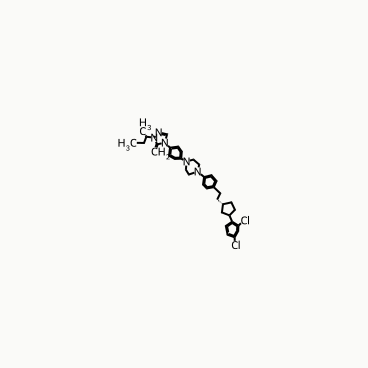 C=C1N(c2ccc(N3CCN(c4ccc(CC[C@@H]5CCC(c6ccc(Cl)cc6Cl)C5)cc4)CC3)cc2)C=NN1C(C)CC